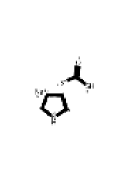 C1CCNC1.O=C([S-])S.[Na+]